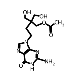 CC(=O)OCC(CO)(CO)CCn1cnc2c(=O)[nH]c(N)nc21